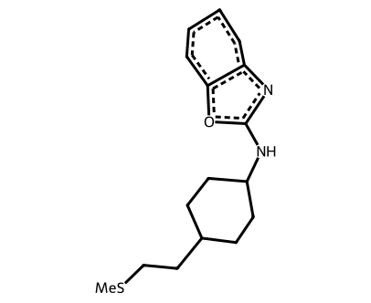 CSCCC1CCC(Nc2nc3ccccc3o2)CC1